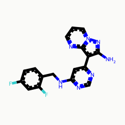 Nc1nn2cccnc2c1-c1cc(NCc2ccc(F)cc2F)ncn1